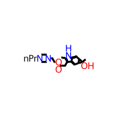 CCCN1CCN(CCOC(=O)Cc2c(C)[nH]c3c2=CC2C(C=3)C2(C)O)CC1